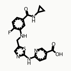 O=C(O)c1ccc(Nc2ncc(CNc3cc(C(=O)NC4CC4)ccc3F)s2)nc1